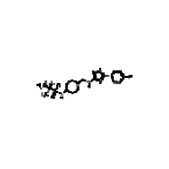 CC(C)(C)S(=O)(=O)NC1CCC(CNc2nnc(-c3ccc(F)cc3)s2)CC1